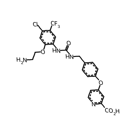 NCCOc1cc(Cl)c(C(F)(F)F)cc1NC(=O)NCc1ccc(Oc2ccnc(C(=O)O)c2)cc1